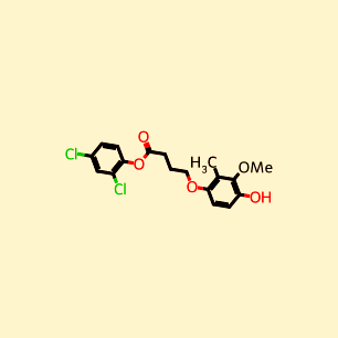 COc1c(O)ccc(OCCCC(=O)Oc2ccc(Cl)cc2Cl)c1C